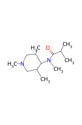 CC(C)C(=O)N(C)C1C(C)CN(C)CC1C